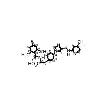 Cc1ccnc(NCc2cn(-c3ccc(C[C@H](NC(=O)c4c(C)cc(F)cc4C)C(=O)O)cc3)nn2)c1